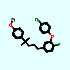 CCOc1ccc(C(C)(C)CCCc2ccc(F)c(Oc3ccc(Cl)cc3)c2)cc1